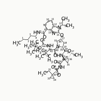 CCCCCNC(=O)c1cccc2c1nc(O[C@@H]1C[C@@H](C(=O)N[C@]3(C(=O)NS(=O)(=O)C4(CC)CC4)C[C@H]3CC)N(C(=O)[C@@H](NC(=O)OC(C)(C)C)C(C)(C)C)C1)n2C(C)C